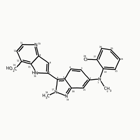 CN(c1ccc2c(-c3cc4nccc(C(=O)O)c4[nH]3)n(C)nc2c1)c1ccccc1Cl